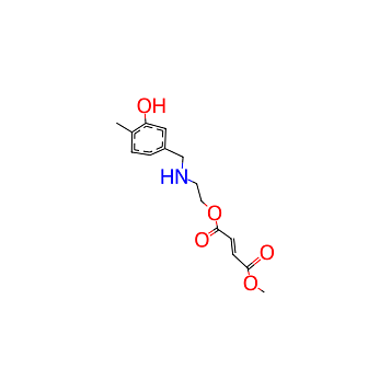 COC(=O)/C=C/C(=O)OCCNCc1ccc(C)c(O)c1